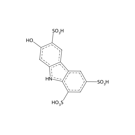 O=S(=O)(O)c1cc(S(=O)(=O)O)c2[nH]c3cc(O)c(S(=O)(=O)O)cc3c2c1